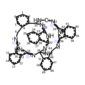 c1ccc2c(c1)C/N=c1\[nH]/c(c3ccccc13)=N\C13/N=c4\[nH]/c(c5ccccc45)=N\C2NC/N=c2\[nH]/c(c4ccccc24)=N\C(N1)c1ccccc13